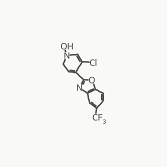 ON1C=C(Cl)C(c2nc3cc(C(F)(F)F)ccc3o2)=CC1